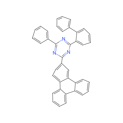 c1ccc(-c2nc(-c3ccc4c5ccccc5c5ccccc5c4c3)nc(-c3ccccc3-c3ccccc3)n2)cc1